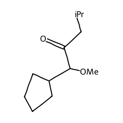 COC(C(=O)CC(C)C)C1CCCC1